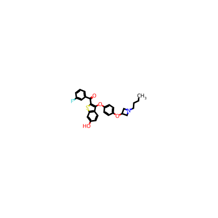 CCCCN1CC(Oc2ccc(Oc3c(C(=O)c4cccc(F)c4)sc4cc(O)ccc34)cc2)C1